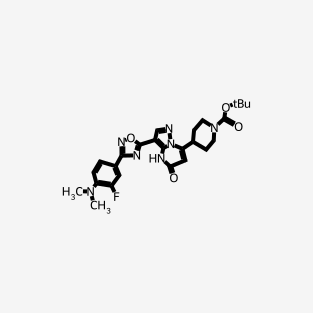 CN(C)c1ccc(-c2noc(-c3cnn4c(C5CCN(C(=O)OC(C)(C)C)CC5)cc(=O)[nH]c34)n2)cc1F